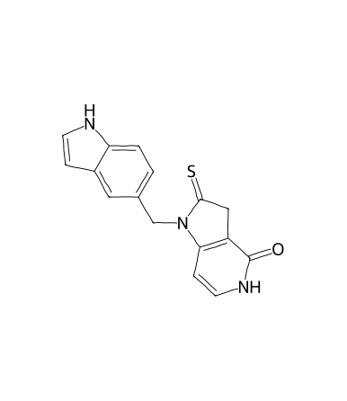 O=c1[nH]ccc2c1CC(=S)N2Cc1ccc2[nH]ccc2c1